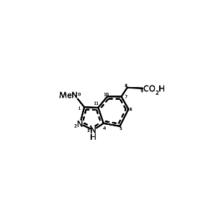 CNc1n[nH]c2ccc(CC(=O)O)cc12